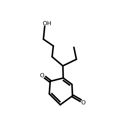 CCC(CCCO)C1=CC(=O)C=CC1=O